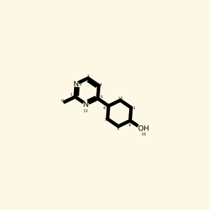 Cc1nccc(C2CCC(O)CC2)n1